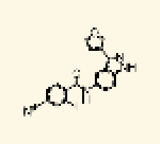 N#Cc1ccc(C(=O)Nc2ccc3[nH]nc(-c4ccoc4)c3c2)c(I)c1